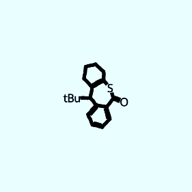 CC(C)(C)C1C2=C(CCCC2)SC(=O)c2ccccc21